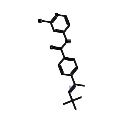 C/C(=C\C(C)(C)C)c1ccc(C(=O)Nc2ccnc(Cl)c2)cc1